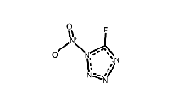 O=[N+]([O-])n1nnnc1F